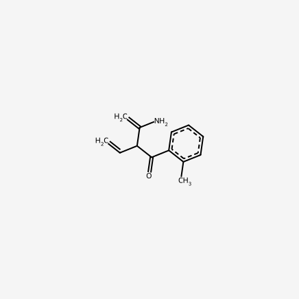 C=CC(C(=C)N)C(=O)c1ccccc1C